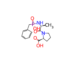 C[C@H](NP(=O)(O)Cc1ccccc1)C(=O)N1CCC[C@H]1C(=O)O